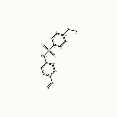 C=Cc1ccc(NS(=O)(=O)c2ccc(CBr)cc2)cc1